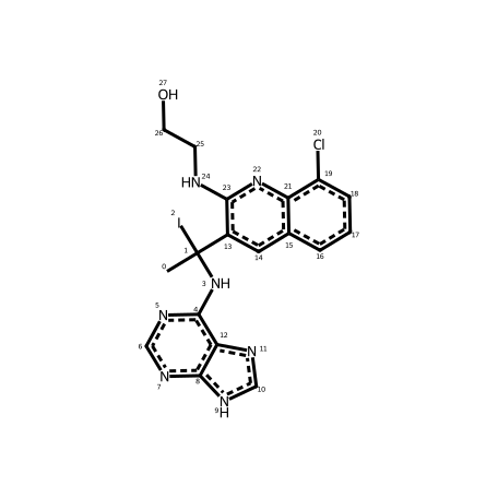 CC(I)(Nc1ncnc2[nH]cnc12)c1cc2cccc(Cl)c2nc1NCCO